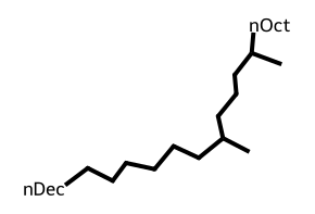 CCCCCCCCCCCCCCCCC(C)CCCC(C)CCCCCCCC